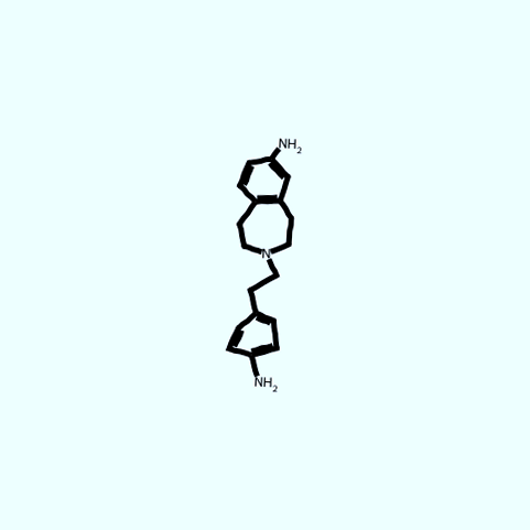 Nc1ccc(CCN2CCc3ccc(N)cc3CC2)cc1